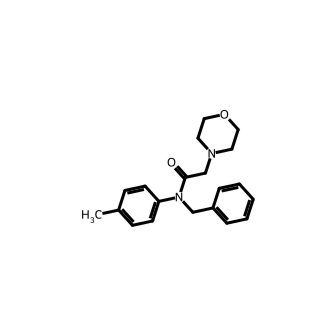 Cc1ccc(N(Cc2ccccc2)C(=O)CN2CCOCC2)cc1